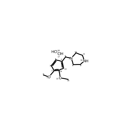 COc1ccc(CN2CCNCC2)cc1OC.Cl.Cl